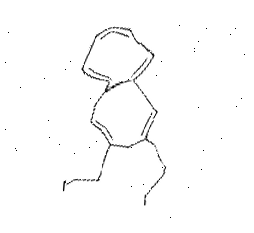 ICc1cc2ccccc2cc1CI